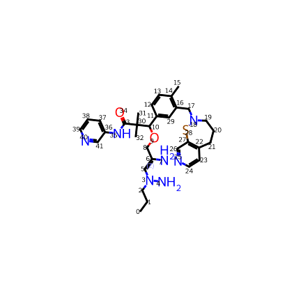 CCCN(N)/C=C(\N)COC(c1ccc(C)c(CN2CCCc3ccncc3S2)c1)C(C)(C)C(=O)Nc1cccnc1